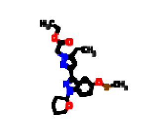 CCOC(=O)Cn1nc(-c2nn(C3CCCCO3)c3ccc(OSC)cc23)cc1CC